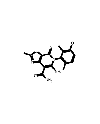 Cc1nc2c(C(N)=O)c(N)n(-c3c(C)ccc(O)c3C)c(=S)c2s1